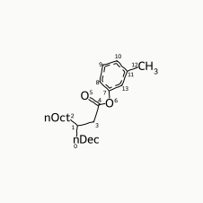 CCCCCCCCCCC(CCCCCCCC)CC(=O)Oc1cccc(C)c1